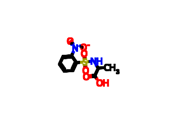 CC(NS(=O)(=O)c1ccccc1[N+](=O)[O-])C(=O)O